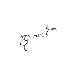 CC(=O)c1ccc2[nH]cc(CCNCc3cccc(C(N)=O)c3)c2c1